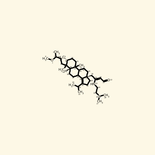 COC(C)CCC1(C)[C@H](C)CCC2(C)C3CC[C@]4(C/C(=C/C=O)NCCN(C)C)CCC(C(C)C)=C4C3CC[C@@H]21